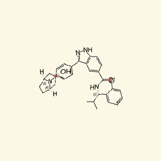 CC(C)[C@H](NC(=O)c1ccc2[nH]nc(-c3ccc(N4[C@@H]5CC[C@H]4C[C@H](O)C5)cc3)c2c1)c1ccccc1Cl